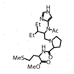 CCC(CC)C(CN1CCCC1C(=O)NC(CCSC)C(=O)OC)N(C(C)=O)c1c[nH]cn1